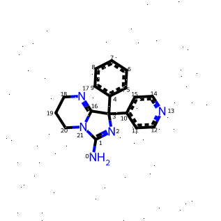 NC1=NC(c2ccccc2)(c2ccncc2)C2=NCCCN12